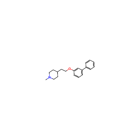 CN1CCC(CCOc2[c]ccc(-c3ccccc3)c2)CC1